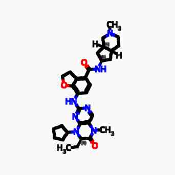 CC[C@@H]1C(=O)N(C)c2cnc(Nc3ccc(C(=O)N[C@@H]4C[C@H]5CCN(C)C[C@H]5C4)c4c3OCC4)nc2N1C1CCCC1